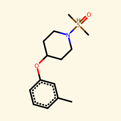 Cc1cccc(OC2CCN([SH](C)(C)=O)CC2)c1